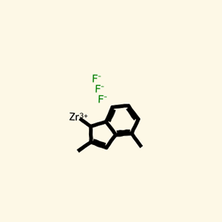 CC1=Cc2c(C)cccc2[CH]1[Zr+3].[F-].[F-].[F-]